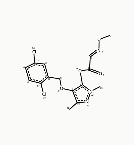 CON=CC(=O)Oc1c(OCc2cc(Cl)ccc2Cl)c(C)nn1C